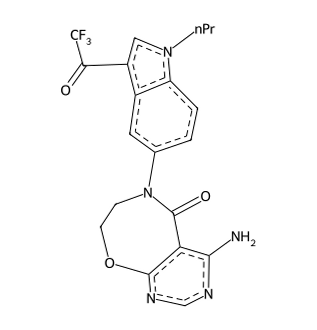 CCCn1cc(C(=O)C(F)(F)F)c2cc(N3CCOc4ncnc(N)c4C3=O)ccc21